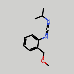 COCc1ccccc1N=C=NC(C)C